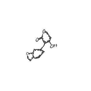 O=c1occc(O)c1-c1ccc2ccoc2c1